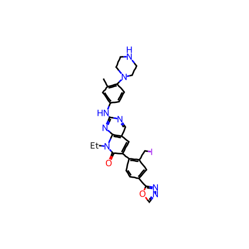 CCn1c(=O)c(-c2ccc(-c3nnco3)cc2CI)cc2cnc(Nc3ccc(N4CCNCC4)c(C)c3)nc21